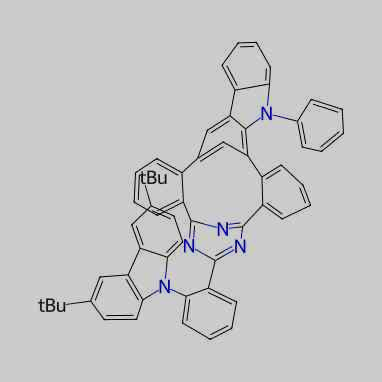 CC(C)(C)c1ccc2c(c1)c1cc(C(C)(C)C)ccc1n2-c1ccccc1-c1nc2nc(n1)c1ccccc1c1cc(cc3c4ccccc4n(-c4ccccc4)c13)c1ccccc21